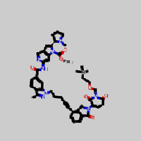 Cc1nn(CCCC#Cc2cccc3c2CN(C2CCC(=O)N(COCC[Si](C)(C)C)C2=O)C3=O)c2cc(C(=O)Nc3cc4c(cn3)cc([C@H]3CCCN3C)n4C(=O)OC(C)(C)C)ccc12